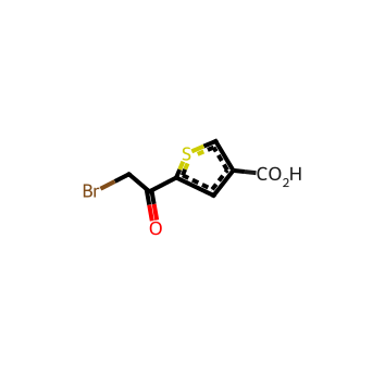 O=C(O)c1csc(C(=O)CBr)c1